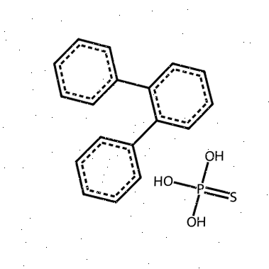 OP(O)(O)=S.c1ccc(-c2ccccc2-c2ccccc2)cc1